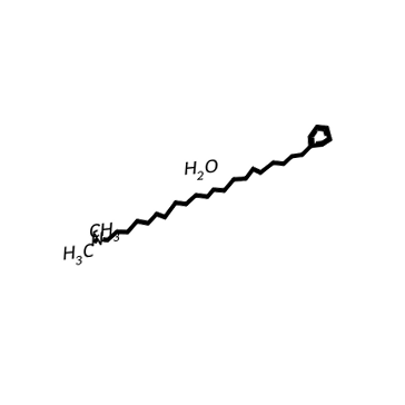 CN(C)CCCCCCCCCCCCCCCCCCCCCc1ccccc1.O